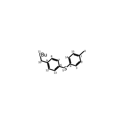 Cc1ccc(Sc2ccc(CC(C)(C)C)cc2)cc1